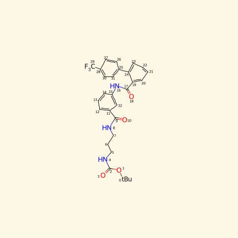 CC(C)(C)OC(=O)NCCCNC(=O)c1cccc(NC(=O)c2ccccc2-c2ccc(C(F)(F)F)cc2)c1